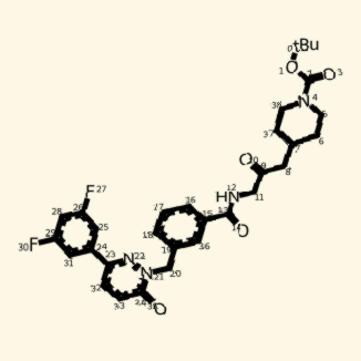 CC(C)(C)OC(=O)N1CCC(CC(=O)CNC(=O)c2cccc(Cn3nc(-c4cc(F)cc(F)c4)ccc3=O)c2)CC1